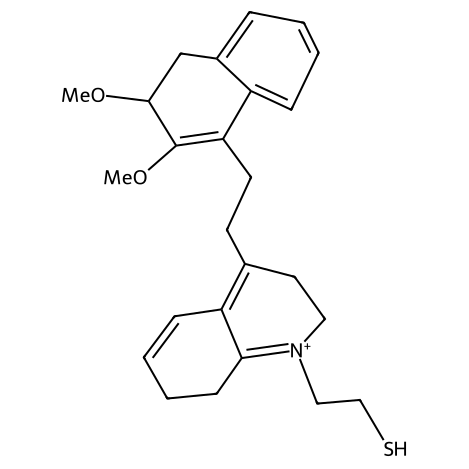 COC1=C(CCC2=C3C=CCCC3=[N+](CCS)CC2)c2ccccc2CC1OC